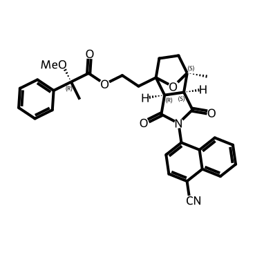 CO[C@@](C)(C(=O)OCCC12CC[C@](C)(O1)[C@H]1C(=O)N(c3ccc(C#N)c4ccccc34)C(=O)[C@H]12)c1ccccc1